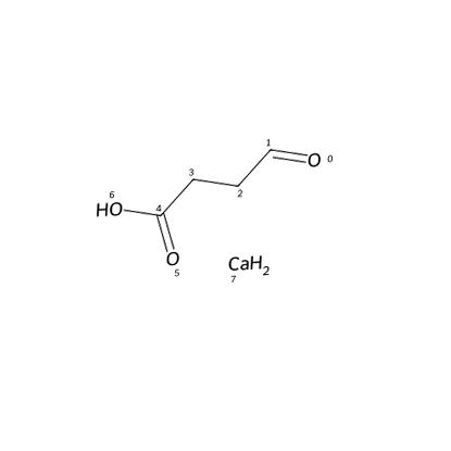 O=CCCC(=O)O.[CaH2]